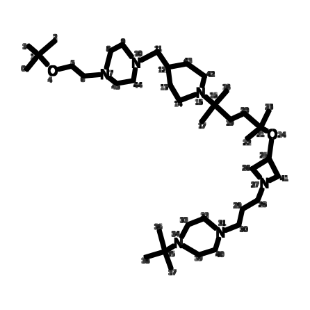 CC(C)(C)OCCN1CCN(CC2CCN(C(C)(C)CCC(C)(C)OC3CN(CCCN4CCN(C(C)(C)C)CC4)C3)CC2)CC1